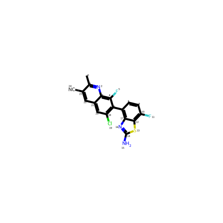 Cc1nc2c(F)c(-c3ccc(F)c4sc(N)nc34)c(Cl)cc2cc1C#N